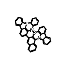 Cc1ccccc1N1B2c3c(cc4ccccc4c3-n3c4ccccc4c4cccc2c43)-c2ccc3c(sc4ccccc43)c21